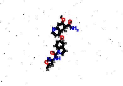 COc1cc2nccc(Oc3ccc4c(ccn4C(=O)Nc4cc(C)on4)c3)c2cc1C(N)=O